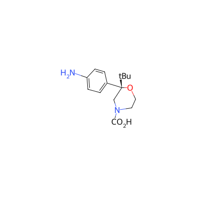 CC(C)(C)[C@]1(c2ccc(N)cc2)CN(C(=O)O)CCO1